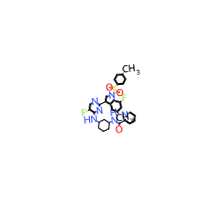 Cc1ccc(S(=O)(=O)n2cc(-c3ncc(F)c(NC4CCCC(NC(=O)c5ccccn5)C4)n3)c3cc(C)cc(F)c32)cc1